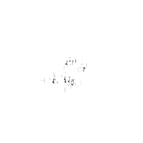 CC(C)[C@H](NC(=O)CCCCCNC(=O)OCC1c2ccccc2-c2ccccc21)C(=O)N[C@@H](CCCNC(N)=O)C(=O)Nc1ccc(COC(=O)NCN)cc1